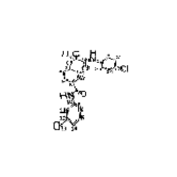 C[C@H](Oc1ccc(C(=O)Nc2cc(Cl)ccn2)cc1)C(=O)Nc1ccc(Cl)cc1